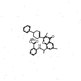 Cc1cc(C(C)Nc2ccccc2C(=O)OC(C)(C)C)c2oc(C3=CCC(c4ccccc4)CC3)c(C)c(=O)c2c1